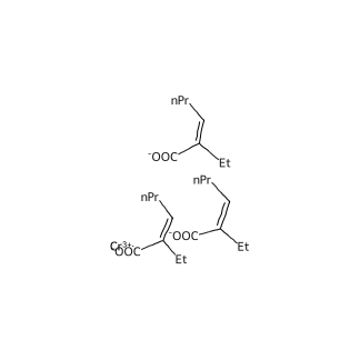 CCCC=C(CC)C(=O)[O-].CCCC=C(CC)C(=O)[O-].CCCC=C(CC)C(=O)[O-].[Cr+3]